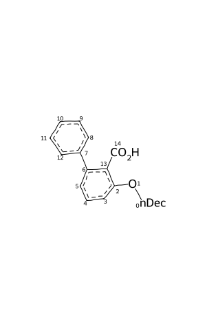 CCCCCCCCCCOc1cccc(-c2ccccc2)c1C(=O)O